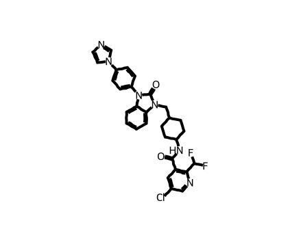 O=C(NC1CCC(Cn2c(=O)n(-c3ccc(-n4ccnc4)cc3)c3ccccc32)CC1)c1cc(Cl)cnc1C(F)F